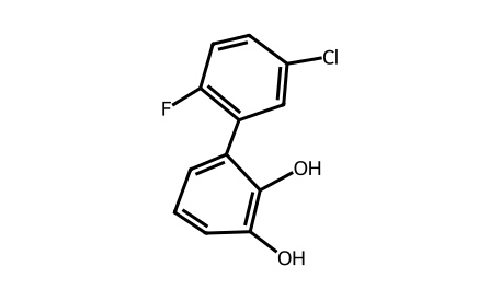 Oc1cccc(-c2cc(Cl)ccc2F)c1O